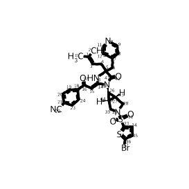 CC(C)=CCC1(Cc2ccncc2)N/C(=C\C(=O)c2ccc(C#N)cc2)N([C@H]2[C@@H]3CN(S(=O)(=O)c4ccc(Br)s4)C[C@@H]32)C1=O